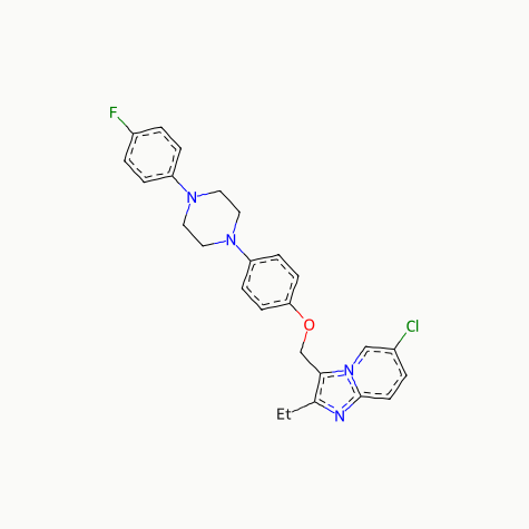 CCc1nc2ccc(Cl)cn2c1COc1ccc(N2CCN(c3ccc(F)cc3)CC2)cc1